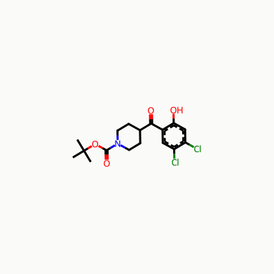 CC(C)(C)OC(=O)N1CCC(C(=O)c2cc(Cl)c(Cl)cc2O)CC1